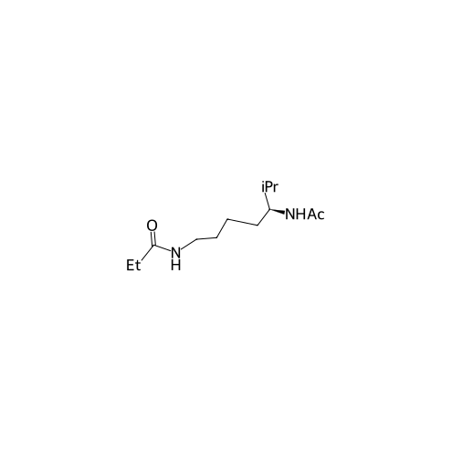 CCC(=O)NCCCC[C@H](NC(C)=O)C(C)C